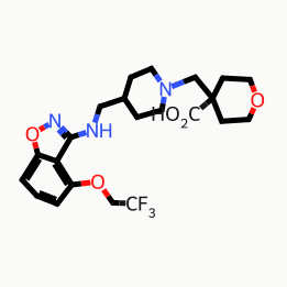 O=C(O)C1(CN2CCC(CNc3noc4cccc(OCC(F)(F)F)c34)CC2)CCOCC1